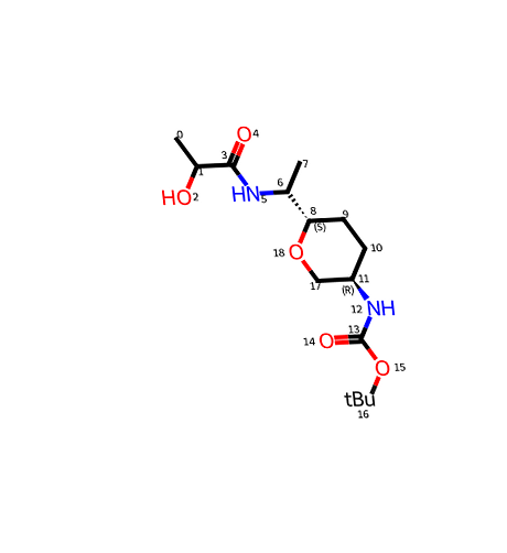 CC(O)C(=O)NC(C)[C@@H]1CC[C@@H](NC(=O)OC(C)(C)C)CO1